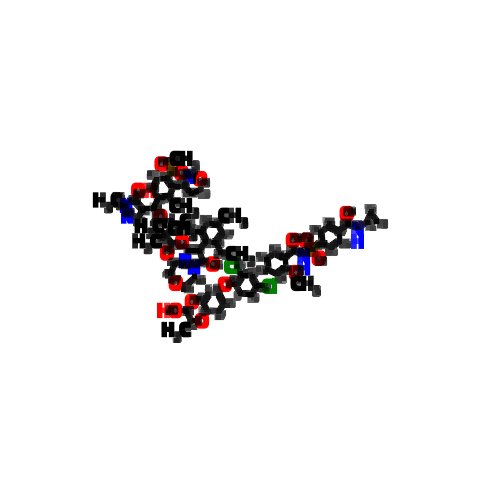 CC(Oc1ccc(Oc2ccc(Cl)cc2Cl)cc1)C(=O)O.CCc1cc(C)cc(CC)c1-c1c(OC(=O)C(C)(C)C)n2n(c1=O)CCOCC2.COc1ccccc1C(=O)NS(=O)(=O)c1ccc(C(=O)NC2CC2)cc1.Cc1c(C(=O)c2cnn(C)c2O)ccc(S(C)(=O)=O)c1C1=NOCC1